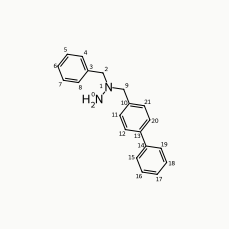 NN(Cc1ccccc1)Cc1ccc(-c2ccccc2)cc1